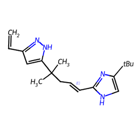 C=Cc1cc(C(C)(C)C/C=C/c2nc(C(C)(C)C)c[nH]2)[nH]n1